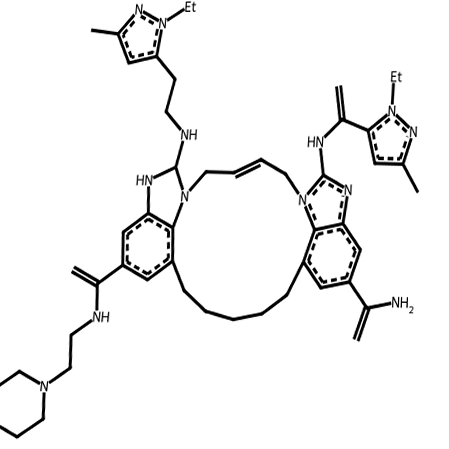 C=C(N)c1cc2c3c(c1)nc(NC(=C)c1cc(C)nn1CC)n3C/C=C/CN1c3c(cc(C(=C)NCCN4CCCCC4)cc3NC1NCCc1cc(C)nn1CC)CCCCC2